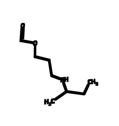 CCC(C)NCCCOC=O